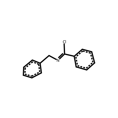 Cl/C(=N\Cc1ccccc1)c1ccccc1